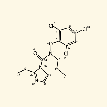 CCCN(Oc1c(Cl)cc(Cl)cc1Cl)C(=O)n1ccnc1CC